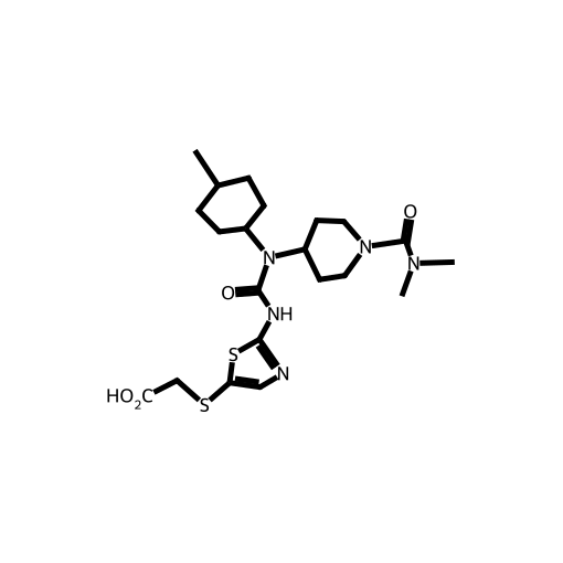 CC1CCC(N(C(=O)Nc2ncc(SCC(=O)O)s2)C2CCN(C(=O)N(C)C)CC2)CC1